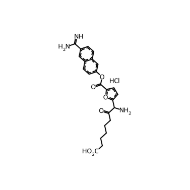 Cl.N=C(N)c1ccc2cc(OC(=O)c3ccc(C(N)C(=O)CCCCCC(=O)O)o3)ccc2c1